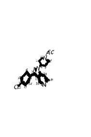 CC(=O)N1CCC(n2nc(-c3ccc(Cl)cc3)c3cnccc32)CC1